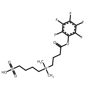 C[N+](C)(CCCCS(=O)(=O)O)CCCC(=O)Oc1c(F)c(F)c(F)c(F)c1F